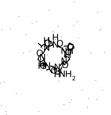 CC[C@H](C)[C@@H]1NC(=O)[C@H](Cc2ccccc2)NC(=O)[C@@H]2CCCN2C(=O)[C@H](CC(N)=O)NC(=O)[C@H](C(C)C)NC(=O)[C@@H]2CCCN2C(=O)[C@H](CC(C)C)NC1=O